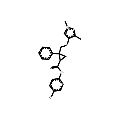 Cc1nn(C)cc1OCC1(c2ccccc2)CC1C(=O)Nc1ccc(Cl)cn1